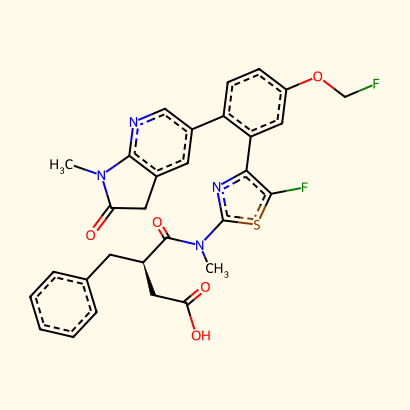 CN(C(=O)[C@@H](CC(=O)O)Cc1ccccc1)c1nc(-c2cc(OCF)ccc2-c2cnc3c(c2)CC(=O)N3C)c(F)s1